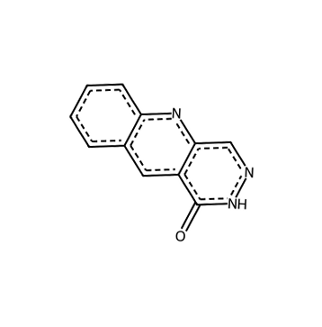 O=c1[nH]ncc2nc3ccccc3cc12